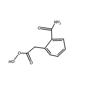 NC(=O)c1ccccc1CC(=O)OO